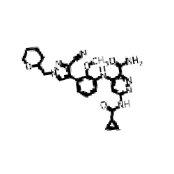 COc1c(Nc2cc(NC(=O)C3CC3)nnc2C(N)=O)cccc1-c1cn(CC2CCCCO2)nc1C#N